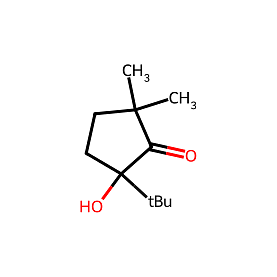 CC1(C)CCC(O)(C(C)(C)C)C1=O